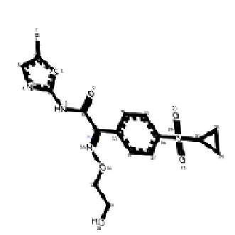 O=C(Nc1ncc(F)s1)/C(=N/OCCO)c1ccc(S(=O)(=O)C2CC2)cc1